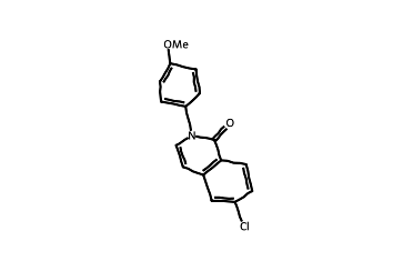 COc1ccc(-n2ccc3cc(Cl)ccc3c2=O)cc1